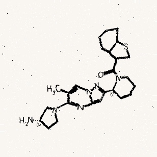 Cc1cn2nc([C@@H]3CCCCN3C(=O)C3CSC4CCCCC43)cc2nc1N1CC[C@H](N)C1